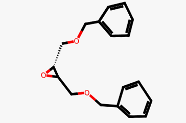 c1ccc(COCC2O[C@@H]2COCc2ccccc2)cc1